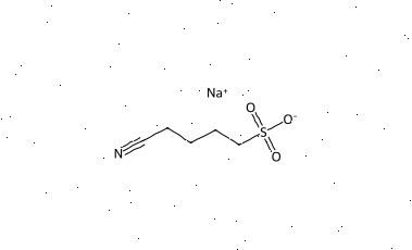 N#CCCCCS(=O)(=O)[O-].[Na+]